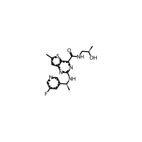 Cc1cc2nc(N[C@@H](C)c3cncc(F)c3)nc(C(=O)NC[C@@H](C)O)c2s1